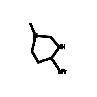 CCCC1CCN(C)CN1